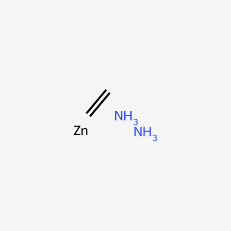 C=C.N.N.[Zn]